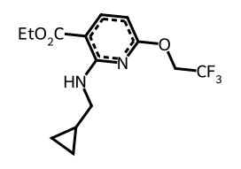 CCOC(=O)c1ccc(OCC(F)(F)F)nc1NCC1CC1